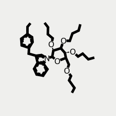 CCCCOCC1OC(n2cc(Cc3ccc(CC)cc3)c3ccccc32)[C@H](OCCCC)C(OCCCC)[C@@H]1OCCCC